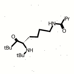 CC(C)C(=O)NCCCC[C@H](NC(C)(C)C)C(=O)C(C)(C)C